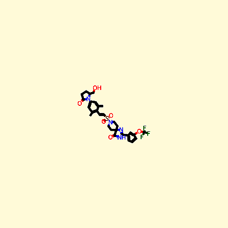 Cc1cc(N2C(=O)CCC2CO)cc(C)c1C=CS(=O)(=O)N1CCC2(CC1)N=C(c1cccc(OC(F)(F)F)c1)NC2=O